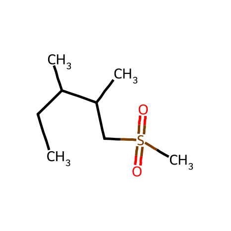 CCC(C)C(C)CS(C)(=O)=O